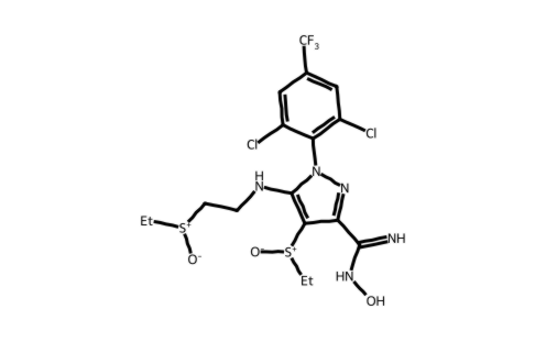 CC[S+]([O-])CCNc1c([S+]([O-])CC)c(C(=N)NO)nn1-c1c(Cl)cc(C(F)(F)F)cc1Cl